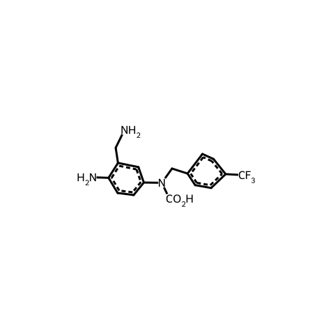 NCc1cc(N(Cc2ccc(C(F)(F)F)cc2)C(=O)O)ccc1N